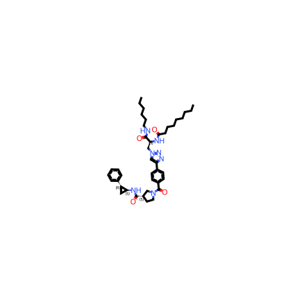 CCCCCCCCC(=O)N[C@@H](Cn1cc(-c2ccc(C(=O)N3CC[C@H](C(=O)N[C@H]4C[C@@H]4c4ccccc4)C3)cc2)nn1)C(=O)NCCCCCC